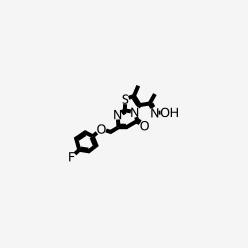 CC(=NO)c1c(C)sc2nc(COc3ccc(F)cc3)cc(=O)n12